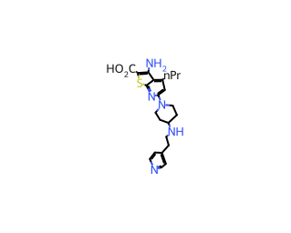 CCCc1cc(N2CCC(NCCc3ccncc3)CC2)nc2sc(C(=O)O)c(N)c12